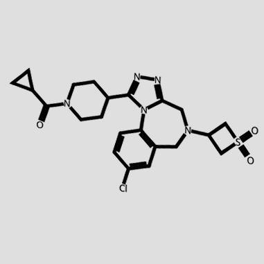 O=C(C1CC1)N1CCC(c2nnc3n2-c2ccc(Cl)cc2CN(C2CS(=O)(=O)C2)C3)CC1